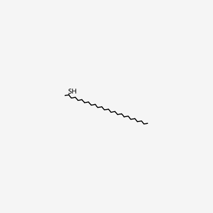 CCCCCCCCCCCCCCCCCCCCCCCCC(C)S